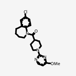 COc1ccnc(N2CCC(C(=O)N3CCCCc4cc(Cl)ccc43)CC2)n1